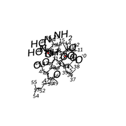 COC(=O)/C(C)=C\CC12OC(C)(C)C3CC(C1=O)C(C(/C(N)=N/O)/C(N)=N\O)C1C(=O)c4c(c(CC=C(C)C)c5c6c4OC(=O)CC6=CC(C)(CCC=C(C)C)O5)OC132